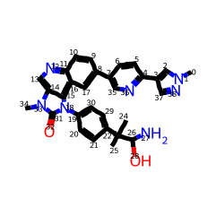 Cn1cc(-c2ccc(-c3ccc4ncc5c(c4c3)n(-c3ccc(C(C)(C)C(N)O)cc3)c(=O)n5C)cn2)cn1